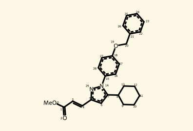 COC(=O)/C=C/c1cc(C2CCCCC2)n(-c2ccc(OCc3ccccc3)cc2)n1